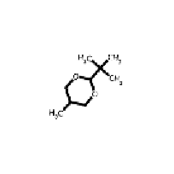 CC1COC(C(C)(C)C)OC1